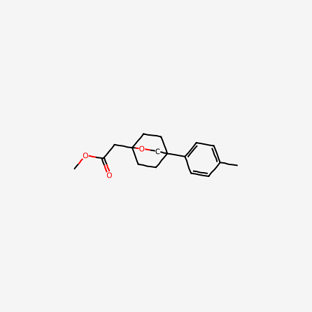 COC(=O)CC12CCC(c3ccc(C)cc3)(CC1)CO2